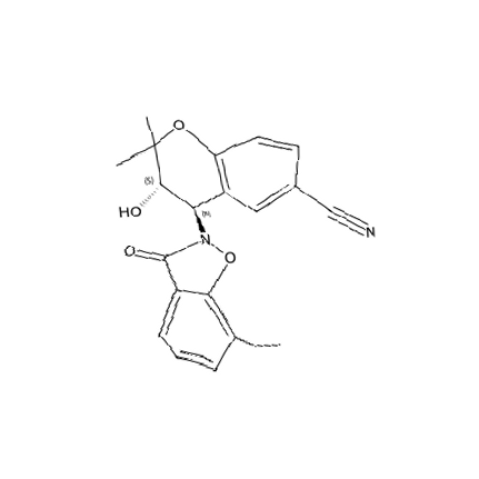 Cc1cccc2c(=O)n([C@@H]3c4cc(C#N)ccc4OC(C)(C)[C@H]3O)oc12